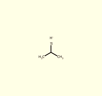 C[CH](C)[Tl].[H-]